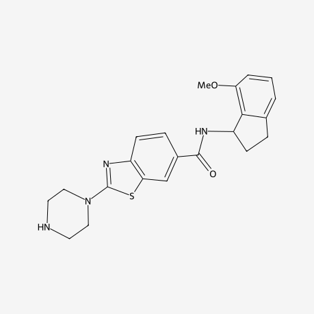 COc1cccc2c1C(NC(=O)c1ccc3nc(N4CCNCC4)sc3c1)CC2